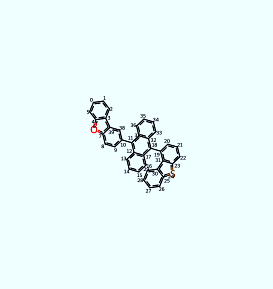 c1ccc2c(c1)oc1ccc(-c3c4ccccc4c(-c4cccc5sc6ccccc6c45)c4ccccc34)cc12